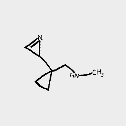 CNCC1(C2C=N2)CC1